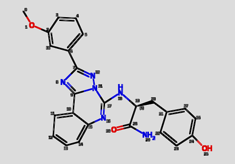 COc1cccc(-c2nc3c4ccccc4nc(N[C@@H](Cc4ccc(O)cc4)C(N)=O)n3n2)c1